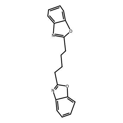 c1ccc2oc(CCCCc3nc4ccccc4o3)nc2c1